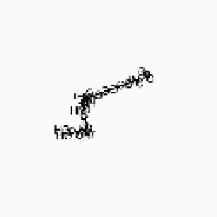 CC(C)C(NC(=O)CCOCCOCCOCCOCCOCCNC(=O)CCN1C(=O)CCC1=O)C(=O)NCC(=O)Nc1ccc(COC(=O)N(CC(O)c2ccc(O)c(O)c2)C(C)C)cc1